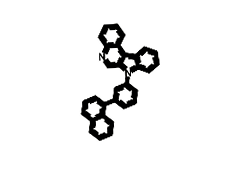 c1cc(-c2cccc3ccccc23)cc(-n2c3ccccc3c3c4ccccc4ncc32)c1